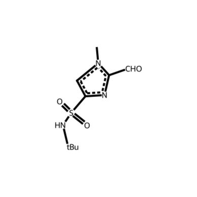 Cn1cc(S(=O)(=O)NC(C)(C)C)nc1C=O